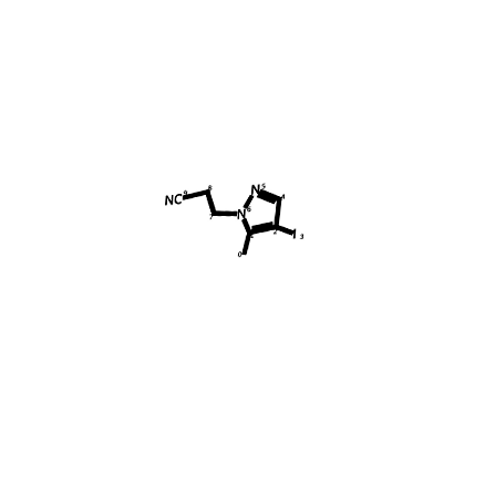 Cc1c(I)cnn1CCC#N